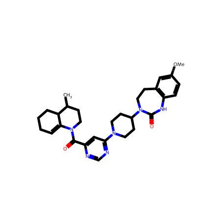 COc1ccc2c(c1)CCN(C1CCN(c3cc(C(=O)N4CCC(C)C5CCCC=C54)ncn3)CC1)C(=O)N2